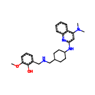 COc1cccc(CNCC2CCC(Nc3cc(N(C)C)c4ccccc4n3)CC2)c1O